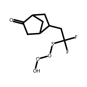 O=C1CC2CC1CC2CC(F)(F)SOOO